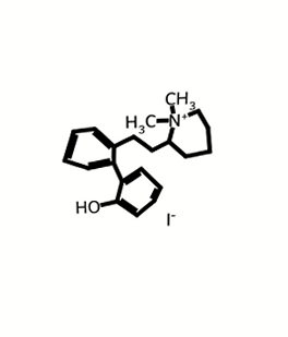 C[N+]1(C)CCCCC1CCc1ccccc1-c1ccccc1O.[I-]